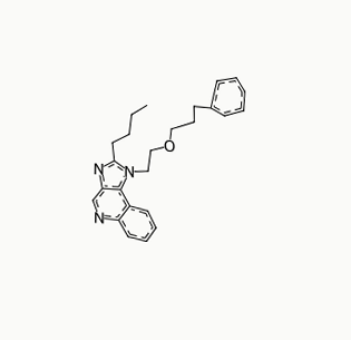 CCCCc1nc2cnc3ccccc3c2n1CCOCCCc1ccccc1